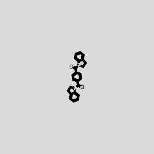 O=C(c1ccc(C(=O)N2CCc3ccccc32)cc1)N1CCc2ccccc21